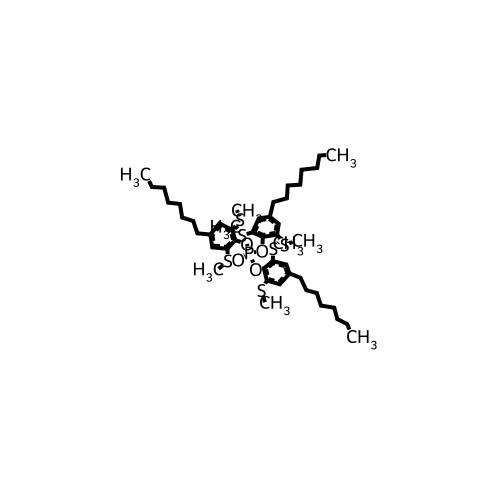 CCCCCCCCc1cc(SC)c(OP(=O)(Oc2c(SC)cc(CCCCCCCC)cc2SC)Oc2c(SC)cc(CCCCCCCC)cc2SC)c(SC)c1